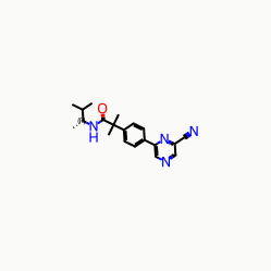 CC(C)[C@@H](C)NC(=O)C(C)(C)c1ccc(-c2cncc(C#N)n2)cc1